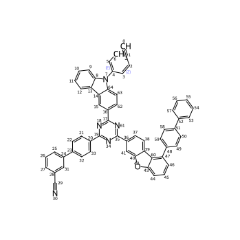 C#C/C=C\C(=C/C)n1c2ccccc2c2cc(-c3nc(-c4ccc(-c5cccc(C#N)c5)cc4)nc(-c4ccc5c(c4)oc4cccc(-c6ccc(-c7ccccc7)cc6)c45)n3)ccc21